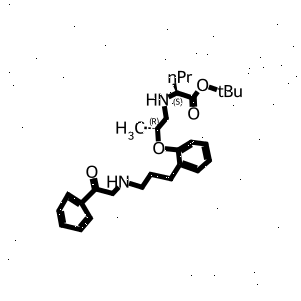 CCC[C@H](NC[C@@H](C)Oc1ccccc1CCCNCC(=O)c1ccccc1)C(=O)OC(C)(C)C